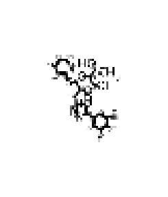 C[C@@H](O)C(CO)OC(Sc1ccccn1)[C@@H](O)Cn1cc(-c2cc(F)c(F)c(F)c2)nn1